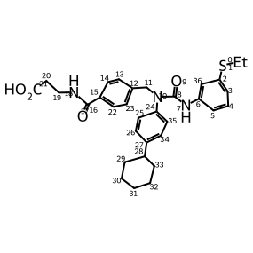 CCSc1cccc(NC(=O)N(Cc2ccc(C(=O)NCCC(=O)O)cc2)c2ccc(C3CCCCC3)cc2)c1